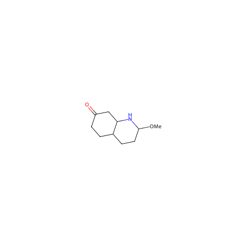 COC1CCC2CCC(=O)CC2N1